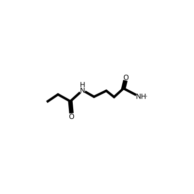 CCC(=O)NCCCC([NH])=O